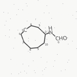 O=[C]NC1CCCCCCCC1